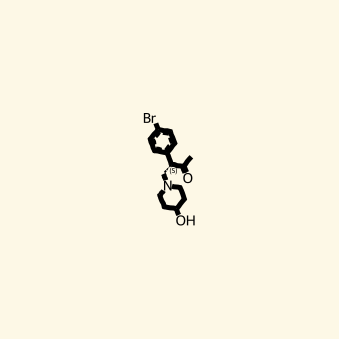 CC(=O)[C@H](CN1CCC(O)CC1)c1ccc(Br)cc1